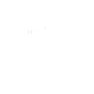 CCO.c1ccc2c(c1)oc1ccccc12